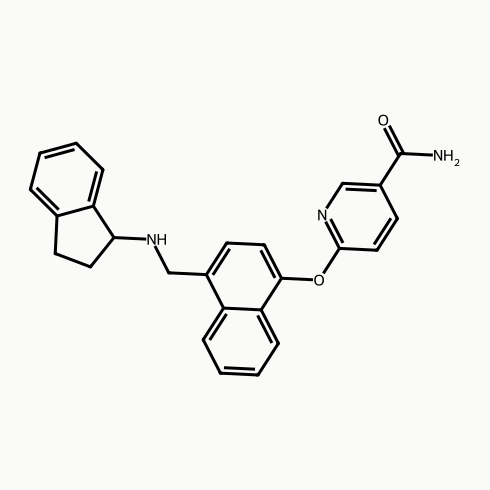 NC(=O)c1ccc(Oc2ccc(CNC3CCc4ccccc43)c3ccccc23)nc1